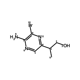 CC(CO)c1cnc(N)c(Br)n1